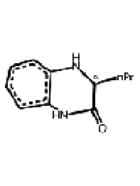 CCC[C@@H]1Nc2ccccc2NC1=O